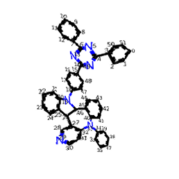 c1ccc(-c2nc(-c3ccccc3)nc(-c3ccc(N4c5ccccc5C5c6cnccc6N(c6ccccc6)c6ccccc6C54)cc3)n2)cc1